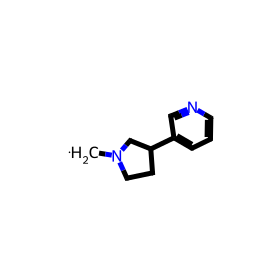 [CH2]N1CCC(c2cccnc2)C1